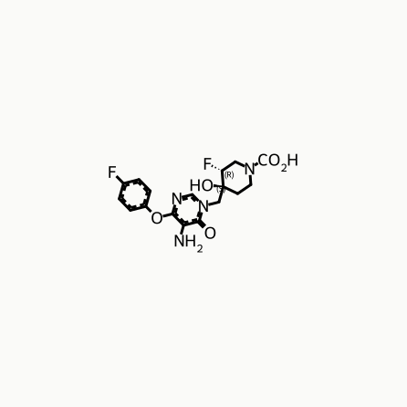 Nc1c(Oc2ccc(F)cc2)ncn(C[C@@]2(O)CCN(C(=O)O)C[C@H]2F)c1=O